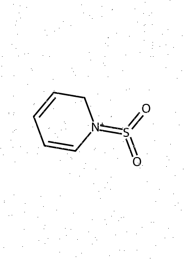 O=S(=O)=[N+]1C=CC=CC1